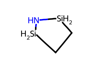 C1C[SiH2]N[SiH2]1